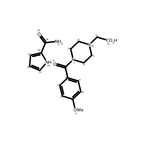 COc1ccc(C(=O)N2CCN(CC(=O)O)CC2)cc1.NC(=O)c1ccc[nH]1